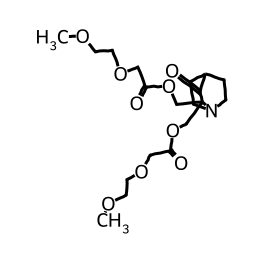 COCCOCC(=O)OCC1(COC(=O)COCCOC)C(=O)C2CCN1CC2